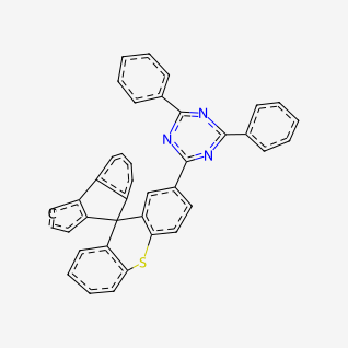 c1ccc(-c2nc(-c3ccccc3)nc(-c3ccc4c(c3)C3(c5ccccc5S4)c4ccccc4-c4ccccc43)n2)cc1